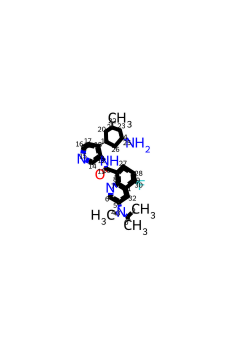 CC(C)N(C)c1cnc2c(C(=O)Nc3cnccc3[C@@H]3C[C@H](C)C[C@H](N)C3)ccc(F)c2c1